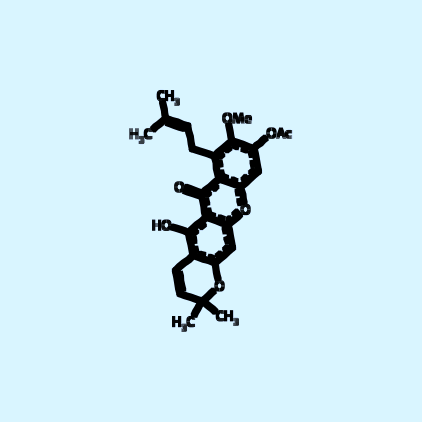 COc1c(OC(C)=O)cc2oc3cc4c(c(O)c3c(=O)c2c1CC=C(C)C)C=CC(C)(C)O4